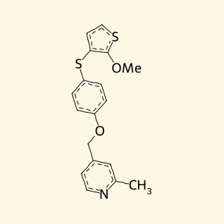 COc1sccc1Sc1ccc(OCc2ccnc(C)c2)cc1